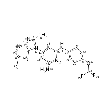 Cc1nc2ncc(Cl)cc2n1-c1nc(N)nc(Nc2ccc(OC(F)F)cc2)n1